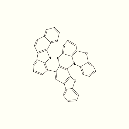 c1ccc2c(c1)Oc1cccc3c1N2c1c2c(cc4c1oc1ccccc14)-c1cccc4c5ccc6ccccc6c5n(c14)B32